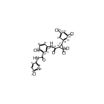 O=C(Nc1ccc(Cl)nc1)c1cc(NC(=O)C2C(c3cc(Cl)cc(Cl)c3)C2(Cl)Cl)ccc1Cl